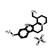 CCC1CCC[N+]2=C1c1[nH]c3cc(OC)ccc3c1CC2.[O-][Cl+3]([O-])([O-])[O-]